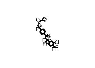 O=C(C1CSC1)N1CC(F)(c2ccc(C3=NOC(c4ccc(C(F)(F)F)c(Cl)c4)(C(F)(F)F)C3)cc2)C1